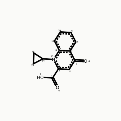 O=C(O)c1cc(=O)c2ccccc2n1C1CC1